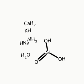 O.O=[Si](O)O.[AlH3].[CaH2].[KH].[NaH]